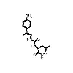 CC1=NNC(=O)N(NC(=O)N/N=C(\C)c2ccc(N)cc2)C1